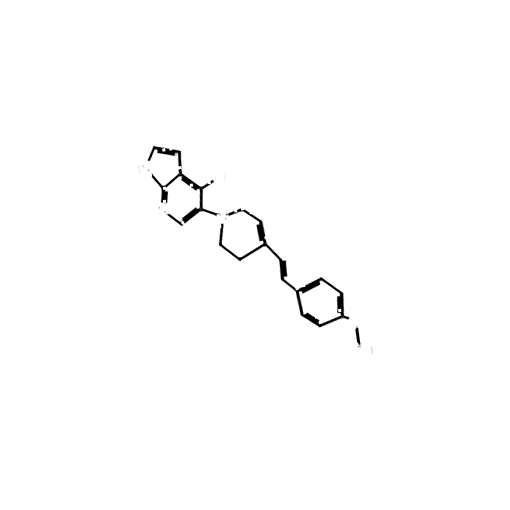 COc1ccc(C=CC2=CCN(c3cnc4[nH]ccc4c3C)CC2)cc1